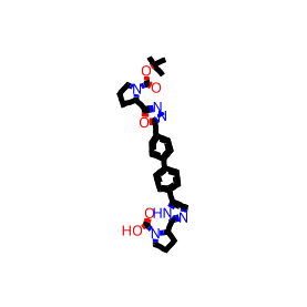 CC(C)(C)OC(=O)N1CCCC1c1nnc(-c2ccc(-c3ccc(-c4cnc(C5CCCN5C(=O)O)[nH]4)cc3)cc2)o1